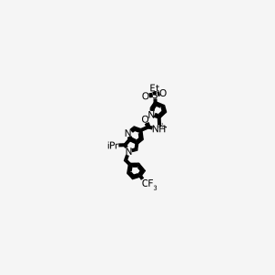 CCS(=O)(=O)c1ccc([C@H](C)NC(=O)c2cnc3c(c2)CN(Cc2ccc(C(F)(F)F)cc2)C3C(C)C)nc1